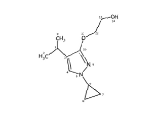 CC(C)c1cn(C2CC2)nc1OCCO